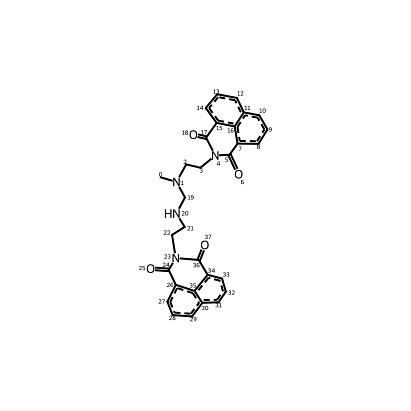 CN(CCN1C(=O)c2cccc3cccc(c23)C1=O)CNCCN1C(=O)c2cccc3cccc(c23)C1=O